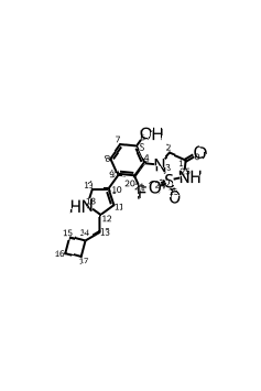 O=C1CN(c2c(O)ccc(C3=CC(CC4CCC4)NC3)c2F)S(=O)(=O)N1